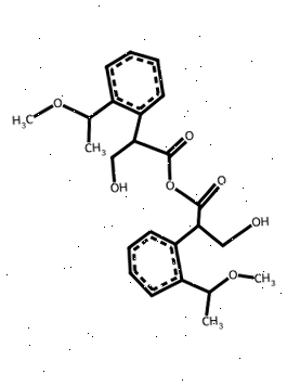 COC(C)c1ccccc1C(CO)C(=O)OC(=O)C(CO)c1ccccc1C(C)OC